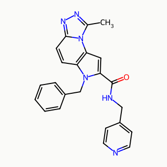 Cc1nnc2ccc3c(cc(C(=O)NCc4ccncc4)n3Cc3ccccc3)n12